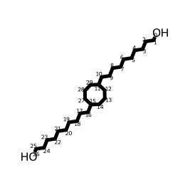 OCCCCCCCCCCC1CCCC(CCCCCCCCCCO)CCC1